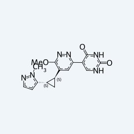 COc1nnc(-c2c[nH]c(=O)[nH]c2=O)cc1[C@H]1C[C@@H]1c1ccnn1C